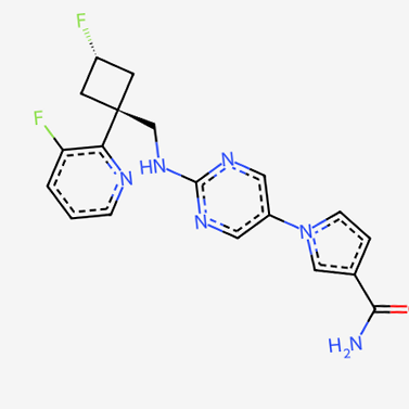 NC(=O)c1ccn(-c2cnc(NC[C@]3(c4ncccc4F)C[C@@H](F)C3)nc2)c1